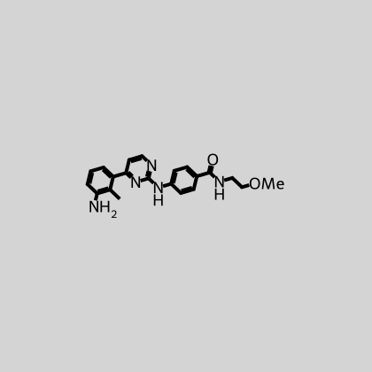 COCCNC(=O)c1ccc(Nc2nccc(-c3cccc(N)c3C)n2)cc1